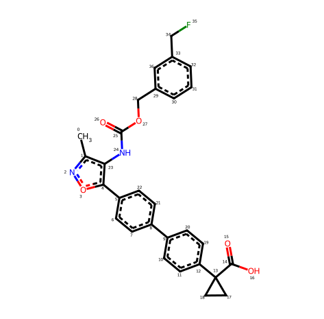 Cc1noc(-c2ccc(-c3ccc(C4(C(=O)O)CC4)cc3)cc2)c1NC(=O)OCc1cccc(CF)c1